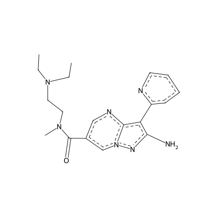 CCN(CC)CCN(C)C(=O)c1cnc2c(-c3ccccn3)c(N)nn2c1